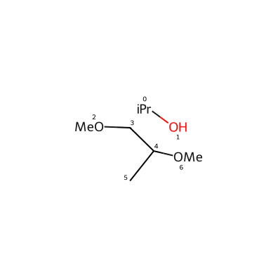 CC(C)O.COCC(C)OC